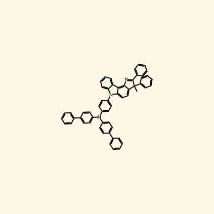 CC1(c2ccccc2)C(c2ccccc2)=Nc2c1ccc1c2c2ccccc2n1-c1ccc(N(c2ccc(-c3ccccc3)cc2)c2ccc(-c3ccccc3)cc2)cc1